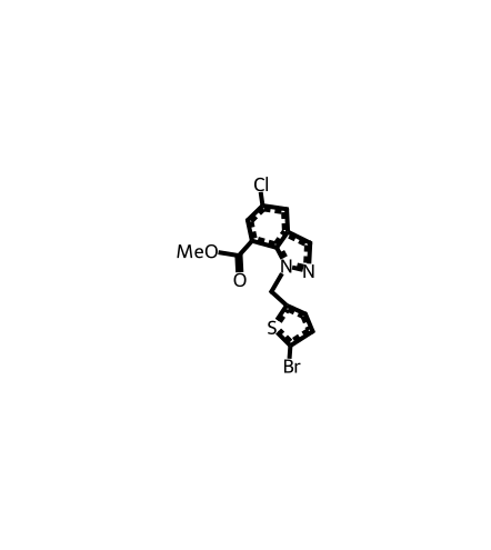 COC(=O)c1cc(Cl)cc2cnn(Cc3ccc(Br)s3)c12